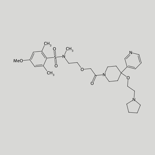 COc1cc(C)c(S(=O)(=O)N(C)CCOCC(=O)N2CCC(OCCN3CCCC3)(c3cccnc3)CC2)c(C)c1